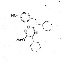 COC(=O)[C@@H](NC(=O)[C@H](Cc1ccc(C#N)cc1)C1CCCCC1)C1CCCCC1